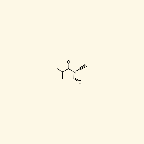 CC(C)C(=O)N(C#N)C=O